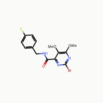 COc1nc(Br)nc(C(=O)NCc2ccc(F)cc2)c1OC